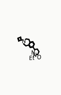 CCN1N=C(c2ccc3c(c2)CCN(C2=CC=C2)CC3)CCC1=O